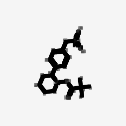 CC(C)(C)C(=O)ON1CCCCC1c1ccc(C[SH](=O)=O)cc1